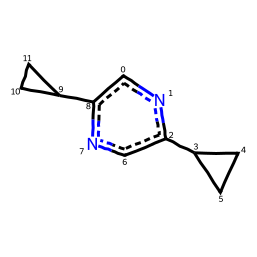 c1nc(C2CC2)cnc1C1CC1